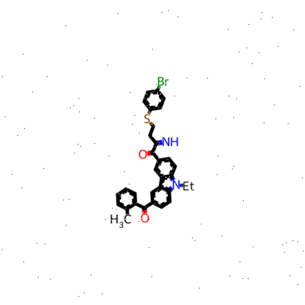 CCn1c2ccc(C(=O)C(=N)CCSc3ccc(Br)cc3)cc2c2cc(C(=O)c3ccccc3C)ccc21